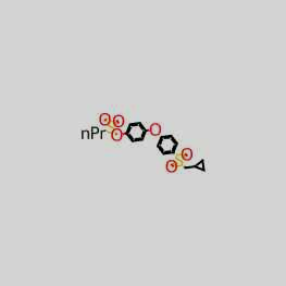 CCCS(=O)(=O)Oc1ccc(Oc2ccc(S(=O)(=O)CC3CC3)cc2)cc1